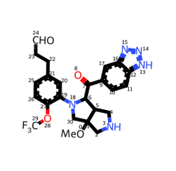 COC12CNCC1C(C(=O)c1ccc3[nH]nnc3c1)N(c1cc(CCC=O)ccc1OC(F)(F)F)C2